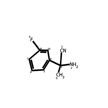 CC(N)(C#N)c1cccc(F)c1